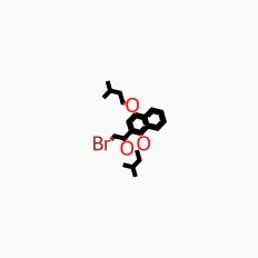 CC(C)CCOc1cc(C(=O)CBr)c(OCCC(C)C)c2ccccc12